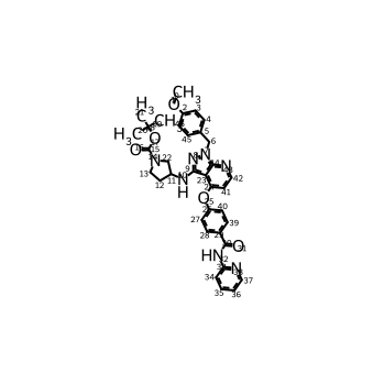 COc1ccc(Cn2nc(NC3CCN(C(=O)OC(C)(C)C)C3)c3c(Oc4ccc(C(=O)Nc5ccccn5)cc4)ccnc32)cc1